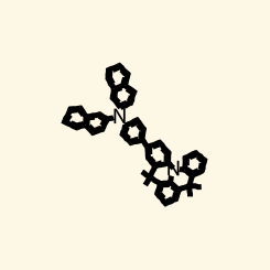 CC1(C)c2ccccc2N2c3ccc(-c4ccc(N(c5ccc6ccccc6c5)c5ccc6ccccc6c5)cc4)cc3C(C)(C)c3cccc1c32